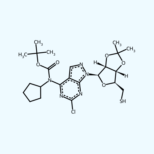 CC(C)(C)OC(=O)N(c1nc(Cl)nc2c1cnn2[C@@H]1O[C@H](CS)[C@H]2OC(C)(C)O[C@H]21)C1CCCC1